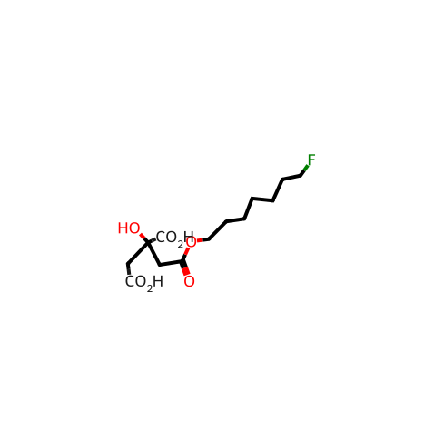 O=C(O)CC(O)(CC(=O)OCCCCCCCF)C(=O)O